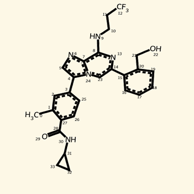 Cc1cc(-c2cnc3c(NCCC(F)(F)F)nc(-c4ccccc4CO)cn23)ccc1C(=O)NC1CC1